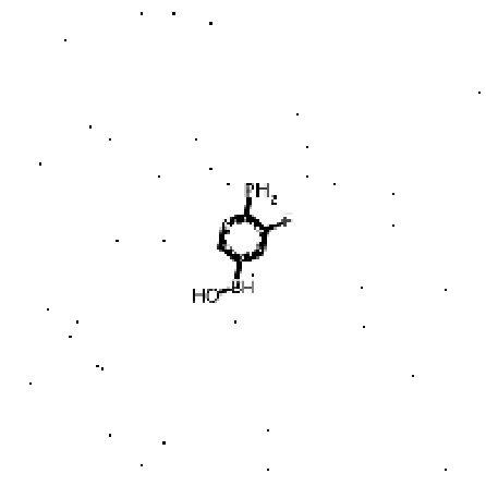 OBc1ccc(P)c(F)c1